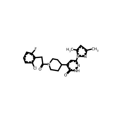 Cc1cc(C)n(-c2cc(C3CCN(C(=O)Cc4c(F)cccc4Cl)CC3)c(=O)[nH]n2)n1